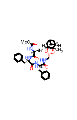 COC(=O)N[C@H](C(=O)N[C@@H](Cc1ccccc1)C(=O)N[C@@H](Cc1ccccc1)C(=O)NCB1O[C@@H]2CC3C[C@@H](C3(C)C)[C@]2(C)O1)C(C)C